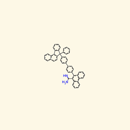 N=C(N)c1c(-c2ccc(-c3ccc(C4(c5ccccc5)c5ccccc5-c5c4ccc4ccccc54)cc3)cc2)c2ccccc2c2ccccc12